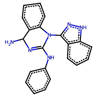 NC1N=C(Nc2ccccc2)N(c2n[nH]c3ccccc23)c2ccccc21